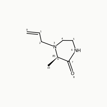 C=CCN1CCNC(=O)[C@H]1C